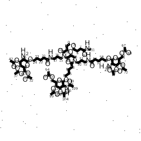 CCC(OC(=O)CCC(=O)NC)C(=O)N(CCCNC(=O)CCCCO[C@@H]1OC(COC(C)=O)[C@H](OC(C)=O)[C@H](OC(C)=O)C1N)CCCN(CCCNC(=O)CCCCO[C@@H]1OC(COC(C)=O)[C@H](OC(C)=O)[C@H](OC(C)=O)C1N)C(=O)CCCCO[C@@H]1OC(COC(C)=O)[C@H](OC(C)=O)[C@H](OC(C)=O)C1NC(C)=O